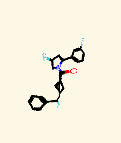 O=C(N1CC(F)CC1c1cccc(F)c1)C12CC(C(F)c3ccccc3)(C1)C2